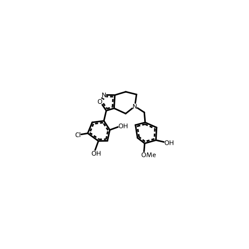 COc1ccc(CN2CCc3noc(-c4cc(Cl)c(O)cc4O)c3C2)cc1O